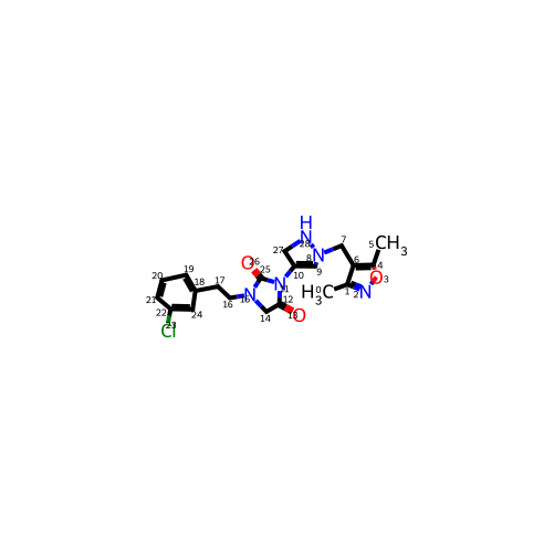 Cc1noc(C)c1CN1C=C(N2C(=O)CN(CCc3cccc(Cl)c3)C2=O)CN1